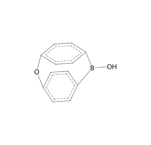 OB1c2ccc(cc2)Oc2ccc1cc2